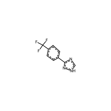 FC(F)(F)c1ccc(-c2nc[nH]n2)cc1